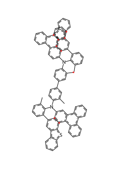 Cc1cc(-c2ccc(N(c3ccc4c5ccccc5c5ccccc5c4c3)c3c(C)cccc3-c3ccc4sc5ccccc5c4c3)c(C)c2)ccc1N(c1ccc2c3ccccc3c3ccccc3c2c1)c1c(C)cccc1-c1ccc2sc3ccccc3c2c1